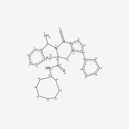 CC(c1ccccc1)N1C(=O)c2ccc(-c3ccccc3)n2CC1(C)C(=O)NC1CCCCCCC1